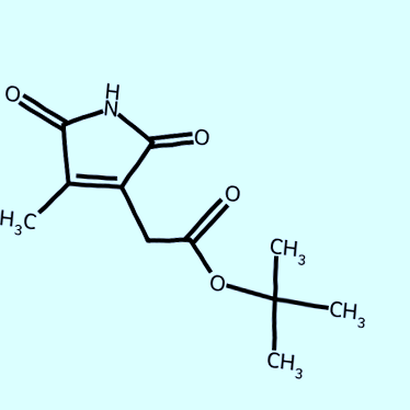 CC1=C(CC(=O)OC(C)(C)C)C(=O)NC1=O